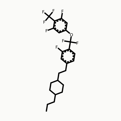 CCCC1CCC(CCc2ccc(C(F)(F)Oc3cc(F)c(C(F)(F)F)c(F)c3)c(F)c2)CC1